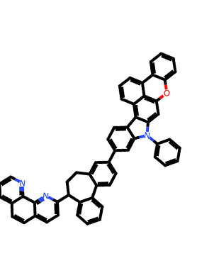 c1ccc(-n2c3cc(-c4ccc5c(c4)CCC(c4ccc6ccc7cccnc7c6n4)c4ccccc4-5)ccc3c3c4cccc5c4c(cc32)Oc2ccccc2-5)cc1